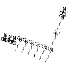 CCCCCCCC[N+]1(C)CCCCC1.CCCCCCCC[N+]1(C)CCCCC1.CCCCCCCC[N+]1(C)CCCCC1.CCCCCCCC[N+]1(C)CCCCC1.CCCCCCCC[N+]1(C)CCCCC1.CCCCCCCC[N+]1(C)CCCCC1.CCCCCCCC[N+]1(C)CCCCC1.CCCCCCCC[N+]1(C)CCCCC1.N#CB([O-])[O-].N#CB([O-])[O-].N#CB([O-])[O-].N#CB([O-])[O-]